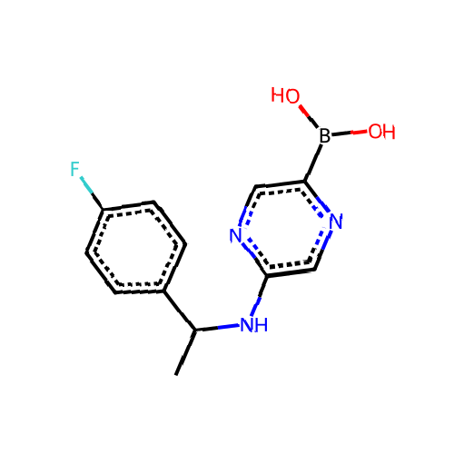 CC(Nc1cnc(B(O)O)cn1)c1ccc(F)cc1